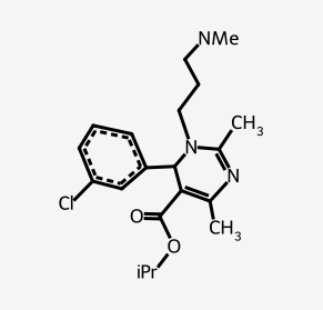 CNCCCN1C(C)=NC(C)=C(C(=O)OC(C)C)C1c1cccc(Cl)c1